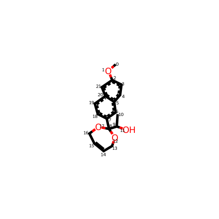 COc1ccc2cc(C3(C(C)O)OCC=CCO3)ccc2c1